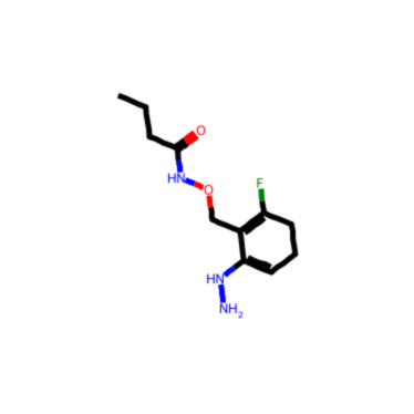 CCCC(=O)NOCC1=C(F)CCC=C1NN